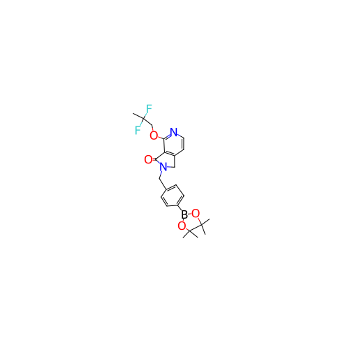 CC(F)(F)COc1nccc2c1C(=O)N(Cc1ccc(B3OC(C)(C)C(C)(C)O3)cc1)C2